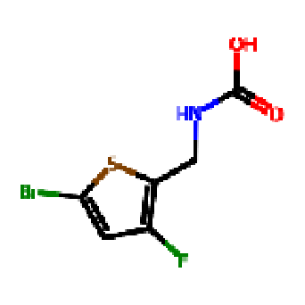 O=C(O)NCc1sc(Br)cc1F